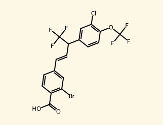 O=C(O)c1ccc(C=CC(c2ccc(OC(F)(F)F)c(Cl)c2)C(F)(F)F)cc1Br